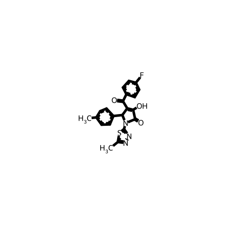 Cc1ccc(C2C(C(=O)c3ccc(F)cc3)=C(O)C(=O)N2c2nnc(C)s2)cc1